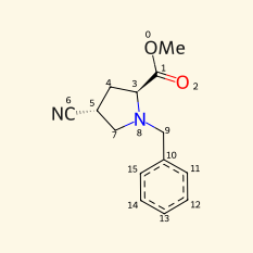 COC(=O)[C@@H]1C[C@@H](C#N)CN1Cc1ccccc1